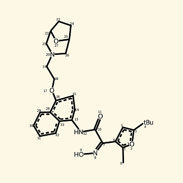 Cc1oc(C(C)(C)C)cc1C(=NO)C(=O)Nc1ccc(OCCN2CC3CCC(C2)O3)c2ccccc12